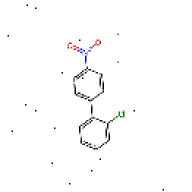 O=[N+]([O-])c1ccc(-c2cc[c]cc2Cl)cc1